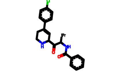 CC(C)C(NC(=O)c1ccccc1)C(=O)C1C=C(c2ccc(Cl)cc2)CCN1